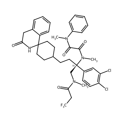 CN(C[C@](CCC1CCC2(CC1)NC(=O)Cc1ccccc12)(c1ccc(Cl)c(Cl)c1)N(C)C(=O)C(=O)N(C)c1ccccc1)C(=O)CC(F)(F)F